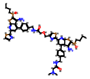 CCCC[S+]([O-])c1sc2nc(-c3nccs3)cc(-c3ccc(CNC(=O)COCc4csc(-c5cc(-c6ccc(CNC(=O)CN(C)C)cc6)c6c(N)c([S+]([O-])CCCC)sc6n5)n4)cc3)c2c1N